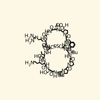 CC[C@@H](C)[C@@H]1NC(=O)C2CCCN2C(=O)C2CCCN2C(=O)[C@H]([C@H](C)CC)NC(=O)[C@H](CO)NC(=O)C(CCCCN)NC(=O)C(C(C)O)NC(=O)[C@@H]2CSSC[C@@H](NC1=O)C(=O)N[C@H](Cc1ccccc1)C(=O)N1CCCC1C(=O)N[C@@H](CC(=O)O)C(=O)NCC(=O)N[C@@H](CCCN=C(N)N)C(=O)N2